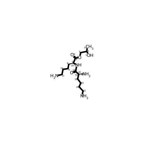 CC(O)COC(=O)[C@H](CCCCN)NC(=O)[C@@H](N)CCCCN